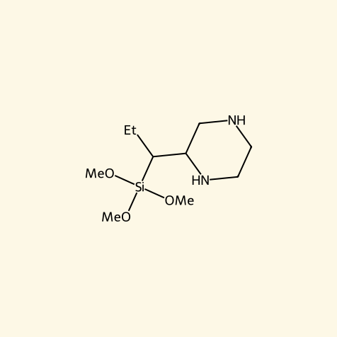 CCC(C1CNCCN1)[Si](OC)(OC)OC